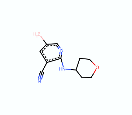 Bc1cnc(NC2CCOCC2)c(C#N)c1